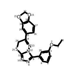 CCOc1cccc(-c2nnc3n2N=C(c2ccc4c(c2)OCO4)CS3)c1